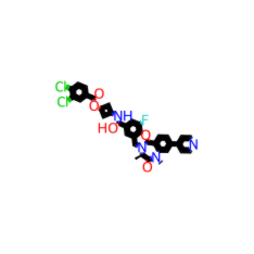 C[C@@H]1C(=O)N(C)c2cc(-c3ccncc3)ccc2C(=O)N1Cc1cc(F)cc(C(O)NC2CC(OC(=O)c3ccc(Cl)c(Cl)c3)C2)c1